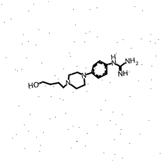 N=C(N)Nc1ccc(N2CCN(CCCCO)CC2)cc1